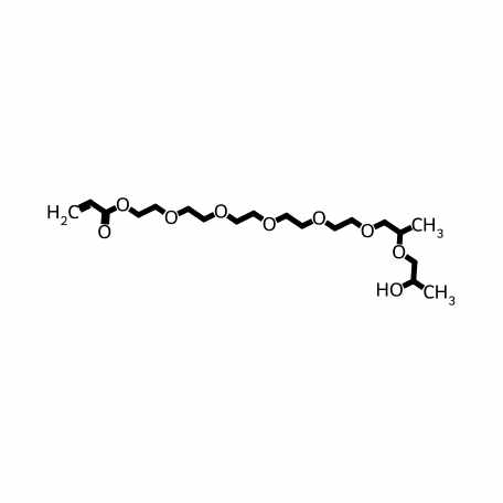 C=CC(=O)OCCOCCOCCOCCOCCOCC(C)OCC(C)O